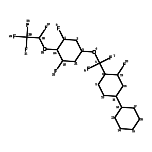 FC1CC(OC(F)(F)C2CCC(C3CCCCC3)CC2F)CC(F)C1OC(F)C(F)(F)F